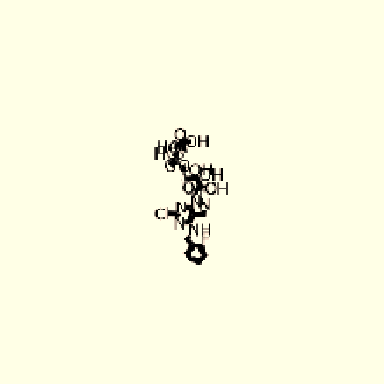 O=P(O)(O)CP(=O)(O)OC[C@H]1O[C@@H](n2ncc3c(NCc4ccccc4F)nc(Cl)nc32)[C@H](O)C1(O)O